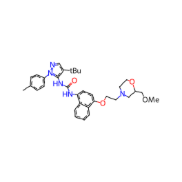 COCC1CN(CCOc2ccc(NC(=O)Nc3c(C(C)(C)C)cnn3-c3ccc(C)cc3)c3ccccc23)CCO1